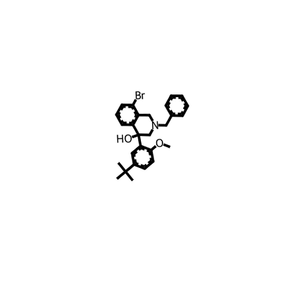 COc1ccc(C(C)(C)C)cc1C1(O)CN(Cc2ccccc2)Cc2c(Br)cccc21